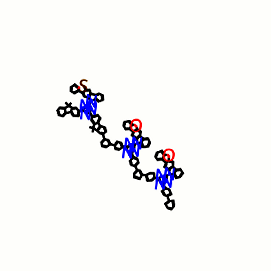 CC1(C)c2ccccc2-c2ccc(-c3nc(-c4ccc5c(c4)C(C)(C)c4cc(-c6cccc(-c7ccc(-c8nc(-c9ccc(-c%10cccc(C%11=CC=C(c%12nc(C%13C=CC(c%14ccccc%14)=CC%13)nc(-n%13c%14ccccc%14c%14cc%15oc%16ccccc%16c%15cc%14%13)n%12)CC%11)c%10)cc9)nc(-n9c%10ccccc%10c%10cc%11oc%12ccccc%12c%11cc%109)n8)cc7)c6)ccc4-5)nc(-n4c5ccccc5c5cc6sc7ccccc7c6cc54)n3)cc21